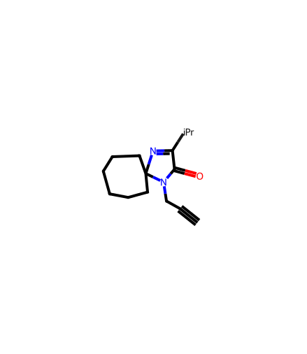 C#CCN1C(=O)C(C(C)C)=NC12CCCCCC2